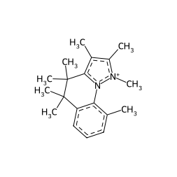 Cc1cccc2c1-n1c(c(C)c(C)[n+]1C)C(C)(C)C2(C)C